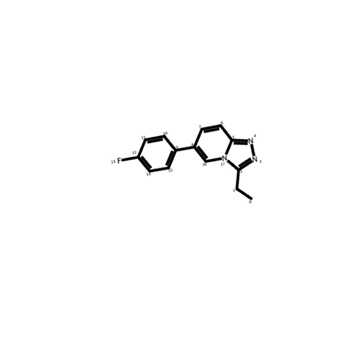 CCc1nnc2ccc(-c3ccc(F)cc3)cn12